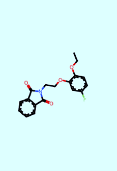 CCOc1ccc(F)cc1OCCN1C(=O)c2ccccc2C1=O